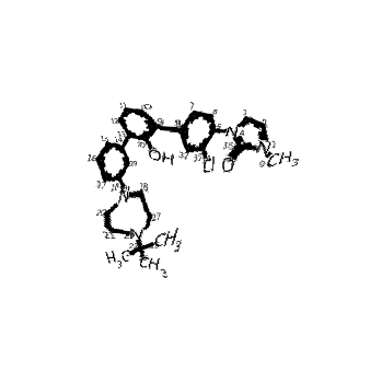 Cn1ccn(-c2ccc(-c3cccc(-c4cccc(N5CCN(C(C)(C)C)CC5)c4)c3O)cc2Cl)c1=O